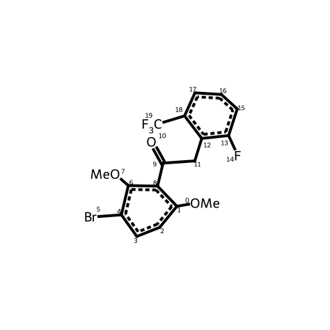 COc1ccc(Br)c(OC)c1C(=O)Cc1c(F)cccc1C(F)(F)F